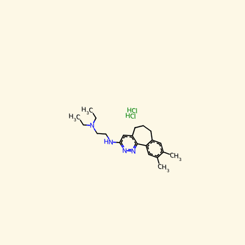 CCN(CC)CCNc1cc2c(nn1)-c1cc(C)c(C)cc1CCC2.Cl.Cl